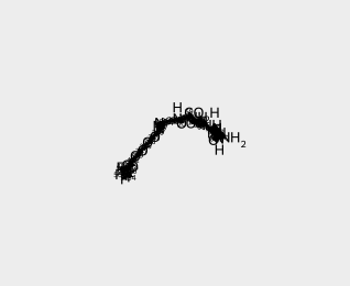 Nc1nc2ncc(CNc3ccc(C(=O)N[C@@H](CCC(=O)NCCCCc4cn(CCOCCOCCOCCOCCC(=O)Oc5c(F)c(F)c(F)c(F)c5F)nn4)C(=O)O)cc3)nc2c(=O)[nH]1